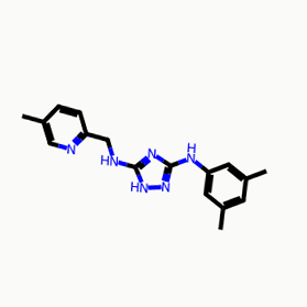 Cc1ccc(CNc2nc(Nc3cc(C)cc(C)c3)n[nH]2)nc1